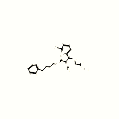 COC(=O)CSC(c1cccc(Br)n1)[C@@H](C#N)C(=O)NCCCCc1ccccc1